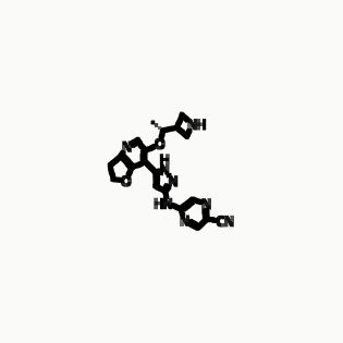 C[C@@H](Oc1cnc2c(c1-c1cc(Nc3cnc(C#N)cn3)n[nH]1)OCC2)C1CNC1